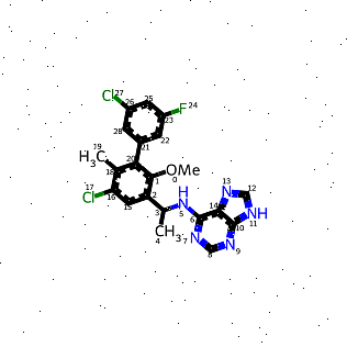 COc1c(C(C)Nc2ncnc3[nH]cnc23)cc(Cl)c(C)c1-c1cc(F)cc(Cl)c1